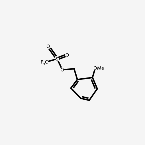 COc1ccccc1COS(=O)(=O)C(F)(F)F